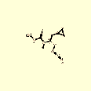 CN(C(=O)OC(C)(C)C)[C@@H](CN=[N+]=[N-])CC1CC1